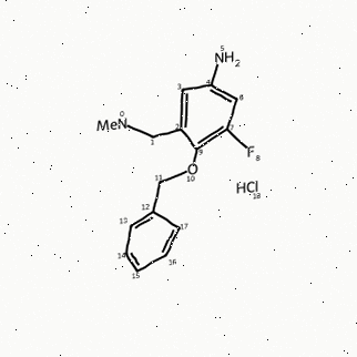 CNCc1cc(N)cc(F)c1OCc1ccccc1.Cl